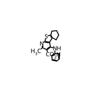 Cc1nc2sc3c(c2c(Nc2ccccc2)c1C(=O)O)CCCC3